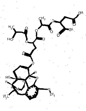 COc1ccc2c3c1O[C@H]1C(OC(=O)CC(OC(=O)C(C)O)C(=O)OC(C)C(=O)OC(CC(=O)O)C(=O)O)=CC[C@@]4(O)[C@@H](C2)N(C)CC[C@]314